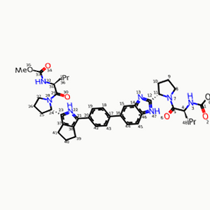 COC(=O)N[C@H](C(=O)N1CCC[C@H]1c1nc2cc(-c3ccc(-c4[nH]c([C@@H]5CCCN5C(=O)[C@@H](NC(=O)OC)C(C)C)c5c4CCC5)cc3)ccc2[nH]1)C(C)C